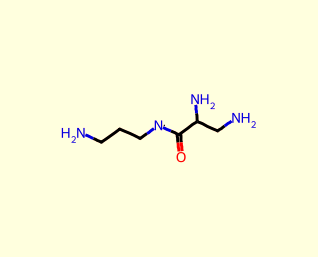 NCCC[N]C(=O)C(N)CN